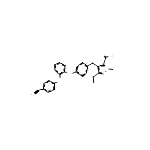 CCc1nn(C)c(C(N)=O)c1Cc1ccc(Oc2ccccc2Oc2ccc(C#N)cc2)cc1